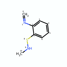 C=Nc1ccccc1SNC